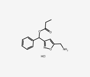 CCC(=O)OC(c1ccccc1)c1cc(CN)on1.Cl